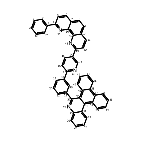 c1ccc(-c2ccc3ccc4ccc(-c5ccc(-c6cccc(-c7nc8ccccc8c8c9ccccc9c9ccccc9c78)c6)nc5)nc4c3n2)cc1